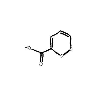 O=C(O)C1=CC=CSS1